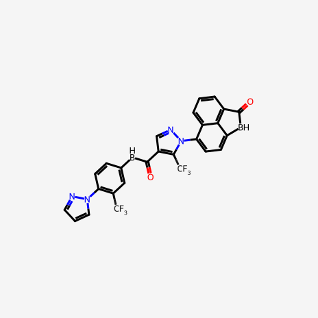 O=C(Bc1ccc(-n2cccn2)c(C(F)(F)F)c1)c1cnn(-c2ccc3c4c(cccc24)C(=O)B3)c1C(F)(F)F